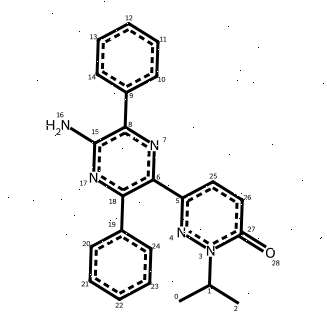 CC(C)n1nc(-c2nc(-c3ccccc3)c(N)nc2-c2ccccc2)ccc1=O